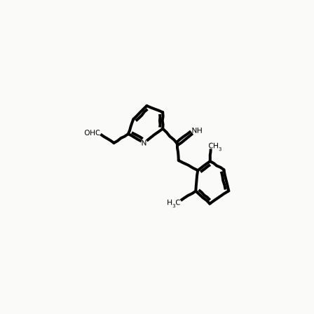 Cc1cccc(C)c1CC(=N)c1cccc(CC=O)n1